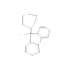 Cc1ccccc1C(O)(c1ccccc1)C1CC[N]CC1